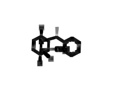 C[C@H](c1ccccc1)N1[C@@H]2C=C[C@@H](CC2)[C@H]1C(=O)O